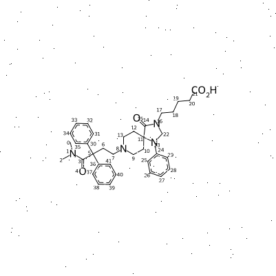 CN(C)C(=O)C(CCN1CCC2(CC1)C(=O)N(CCCCC(=O)O)CN2c1ccccc1)(c1ccccc1)c1ccccc1